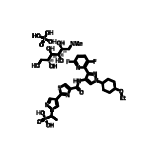 CCOC1CCC(n2cc(NC(=O)c3csc(-c4cnn(C(C)P(=O)(O)O)c4)n3)c(-c3nc(F)ccc3F)n2)CC1.CNC[C@H](O)[C@@H](O)[C@H](O)[C@H](O)CO.O=P(O)(O)O